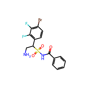 NCC(c1ccc(Br)c(F)c1F)S(=O)(=O)NC(=O)c1ccccc1